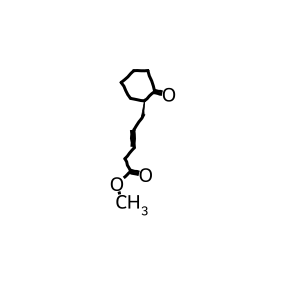 COC(=O)C/C=C/C[C@H]1CCCCC1=O